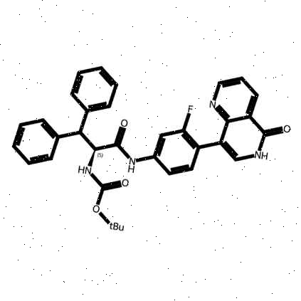 CC(C)(C)OC(=O)N[C@H](C(=O)Nc1ccc(-c2c[nH]c(=O)c3cccnc23)c(F)c1)C(c1ccccc1)c1ccccc1